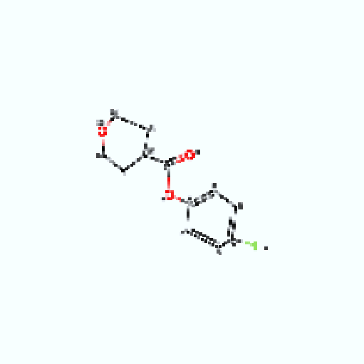 O=C(Oc1ccc(F)cc1)C1CCOCC1